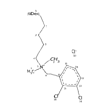 CCCCCCCCCCCCCC[N+](C)(C)Cc1cccc(Cl)c1Cl.[Cl-]